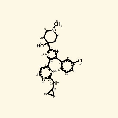 CN1CCC(O)(c2nc(-c3cccc(Cl)c3)c(-c3ccnc(NC4CC4)n3)s2)CC1